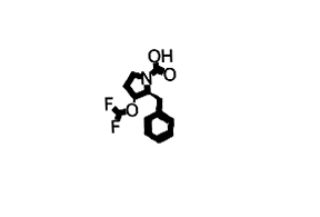 O=C(O)N1CC[C@@H](OC(F)F)[C@@H]1Cc1ccccc1